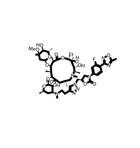 CC[C@H]1OC(=O)[C@H](C)[C@@H](O[C@H]2C[C@@](C)(OC)[C@@H](O)[C@H](C)O2)[C@H](C)[C@@H](O[C@@H]2O[C@H](C)C[C@H](N(C)CCc3cn(C[C@H]4CN(c5ccc(-c6noc(C)n6)c(F)c5)C(=O)O4)nn3)[C@H]2O)[C@](C)(O)C[C@@H](C)CN(C)[C@H](C)[C@@H](O)[C@]1(C)O